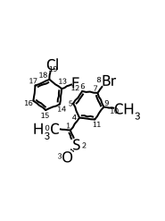 CC(=S=O)c1ccc(Br)c(C)c1.Fc1ccccc1Cl